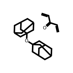 C1C2CC3CC1CC(OC14CC5CC(CC(C5)C1)C4)(C2)C3.C=CC(=O)C=C